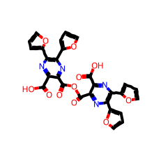 O=C(O)c1nc(-c2ccco2)c(-c2ccco2)nc1C(=O)OC(=O)c1nc(-c2ccco2)c(-c2ccco2)nc1C(=O)O